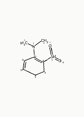 CN(C)C1=C([SH](=O)=O)CCC=C1